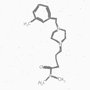 Cc1cccc(CN2CCN(CCCC(=O)N(C)C)CC2)c1